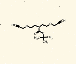 C#CCOCCN(CCOCC#C)C(=O)OC(C)(C)C